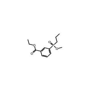 CCCP(=O)(OC)c1cccc(C(=O)OCC)c1